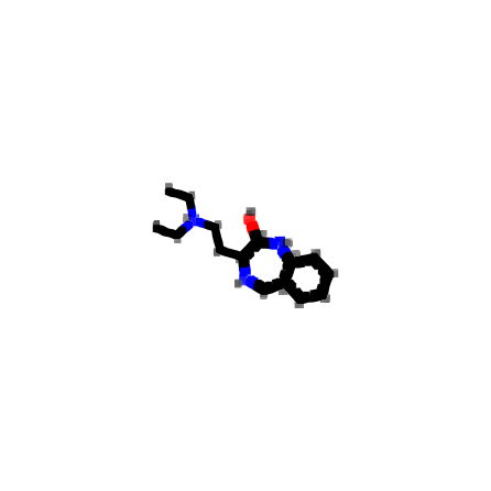 CCN(CC)CCc1ncc2ccccc2nc1=O